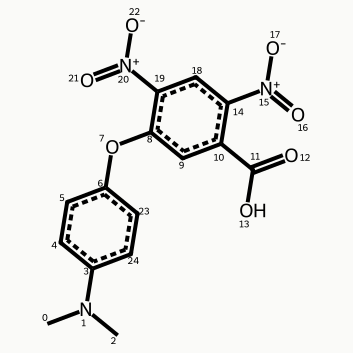 CN(C)c1ccc(Oc2cc(C(=O)O)c([N+](=O)[O-])cc2[N+](=O)[O-])cc1